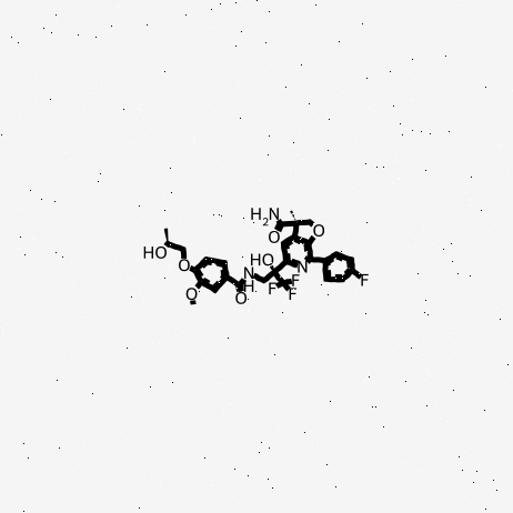 COc1cc(C(=O)NC[C@](O)(c2cc3c(c(-c4ccc(F)cc4)n2)OC[C@]3(C)C(N)=O)C(F)(F)F)ccc1OC[C@H](C)O